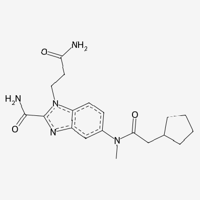 CN(C(=O)CC1CCCC1)c1ccc2c(c1)nc(C(N)=O)n2CCC(N)=O